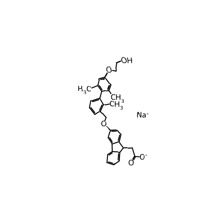 Cc1cc(OCCO)cc(C)c1-c1cccc(COc2ccc3c(c2)-c2ccccc2C3CC(=O)[O-])c1C.[Na+]